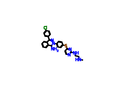 CNCCNc1nccc(Sc2ccc(N3N=C(c4ccc(Cl)cc4)c4ccccc4C3N)cc2)n1